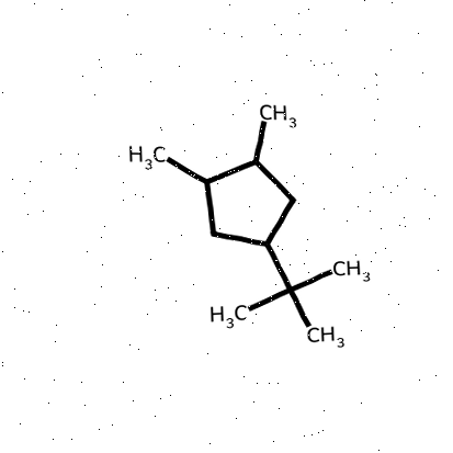 CC1CC(C(C)(C)C)CC1C